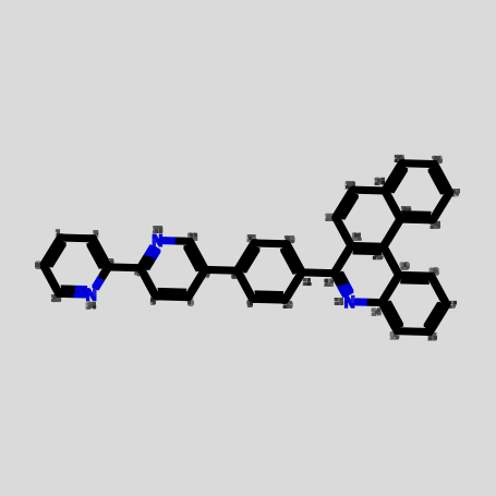 c1ccc(-c2ccc(-c3ccc(-c4nc5ccccc5c5c4ccc4ccccc45)cc3)cn2)nc1